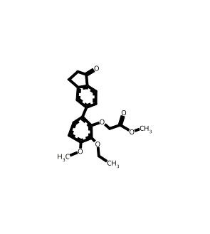 CCOc1c(OC)ccc(-c2ccc3c(c2)CCC3=O)c1OCC(=O)OC